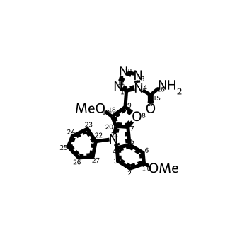 COc1ccc2c(c1)c1oc(-c3nnnn3C(N)=O)c(OC)c1n2-c1ccccc1